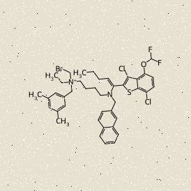 CCC/C=C(/c1sc2c(Cl)ccc(OC(F)F)c2c1Cl)N(CCCC[N+](CC)(CBr)Cc1cc(C)cc(C)c1)Cc1ccc2ccccc2c1